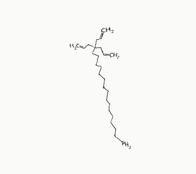 C=CCC(CC=C)(CC=C)CCCCCCCCCCCCCCCP